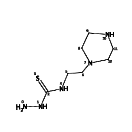 NNC(=S)NCCN1CCNCC1